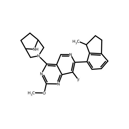 COc1nc(N2CC3CCC(C2)N3)c2cnc(-c3cccc4c3C(C)CC4)c(F)c2n1